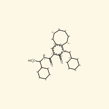 O=C(NC(C(=O)O)C1CCCCC1)c1cc2c(n(CC3CCCCC3)c1=O)CCCCCC2